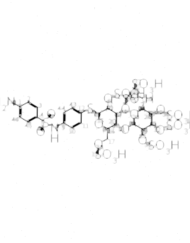 Nc1ccc(S(=O)(=O)Nc2ccc(S[C@@H]3O[C@H](COS(=O)(=O)O)[C@@H](O[C@H]4O[C@H](COS(=O)(=O)O)[C@@H](OS(=O)(=O)O)[C@H](OS(=O)(=O)O)[C@H]4OS(=O)(=O)O)[C@H](OS(=O)(=O)O)[C@H]3OS(=O)(=O)O)cc2)cc1